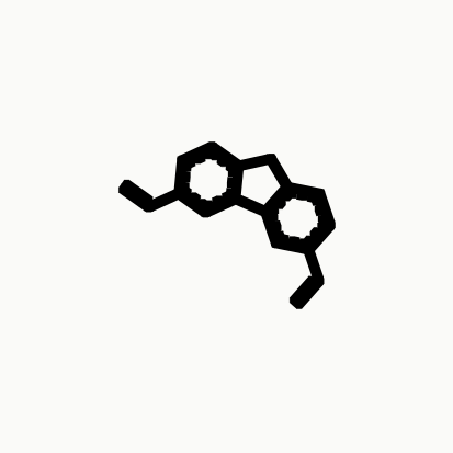 C=Cc1ccc2c(c1)-c1cc(C=C)ccc1C2